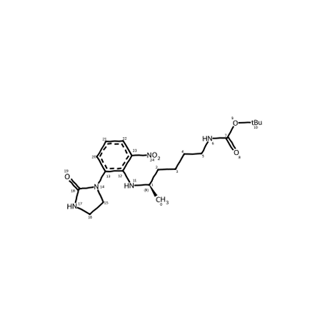 C[C@H](CCCCNC(=O)OC(C)(C)C)Nc1c(N2CCNC2=O)cccc1[N+](=O)[O-]